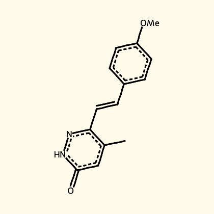 COc1ccc(C=Cc2n[nH]c(=O)cc2C)cc1